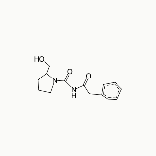 O=C(Cc1ccccc1)NC(=O)N1CCCC1CO